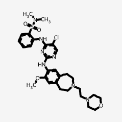 COc1cc2c(cc1Nc1ncc(Cl)c(Nc3ccccc3S(=O)(=O)N(C)C)n1)CCN(CCN1CCOCC1)CC2